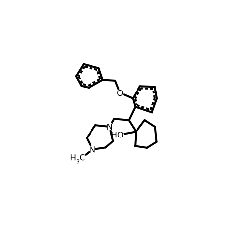 CN1CCN(CC(c2ccccc2OCc2ccccc2)C2(O)CCCCC2)CC1